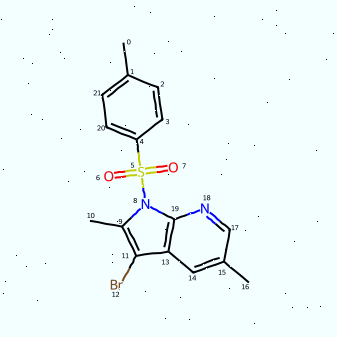 Cc1ccc(S(=O)(=O)n2c(C)c(Br)c3cc(C)cnc32)cc1